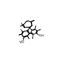 Cc1c(C)c(C2(c3c(C)c(C)c(O)c(C)c3C)CC(C)CC(C)(C)C2)c(C)c(C)c1O